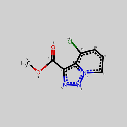 COC(=O)c1nnn2cccc(Cl)c12